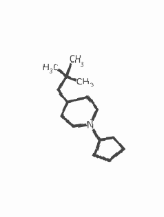 CC(C)(C)CC1CCN(C2CCCC2)CC1